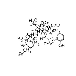 CC(=O)OC1C[C@H]2CC[C@@]1(C)C2(C)C.CC1(C)[C@@H]2CC[C@]1(C)C(OC=O)C2.CC1(C)[C@@H]2CC[C@]1(C)[C@@H](O)C2.O=C(O)c1ccccc1O.[CH2]C(C)C